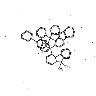 CC1(C)c2ccccc2C2C(N(c3ccc(-c4ccccc4)cc3)c3ccc4c(oc5ccccc54)c3C3(c4ccccc4)c4ccccc4-c4ccccc43)=CC=CC21